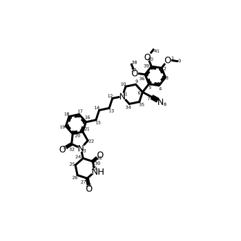 COc1ccc(C2(C#N)CCN(CCCCc3cccc4c3CN(C3CCC(=O)NC3=O)C4=O)CC2)c(OC)c1OC